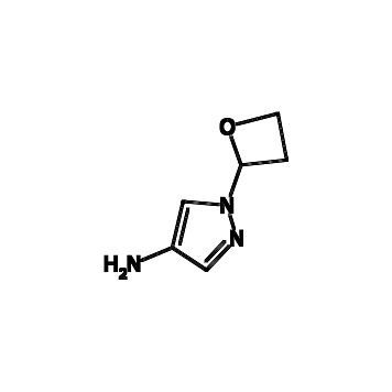 Nc1cnn(C2CCO2)c1